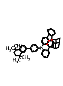 CC1(C)CCC(C)(C)c2cc(-c3ccc(N(c4ccc5c(c4)C4(c6ccccc6-5)C5CC6CC7CC4C75C6)c4ccccc4-c4ccccc4)cc3)ccc21